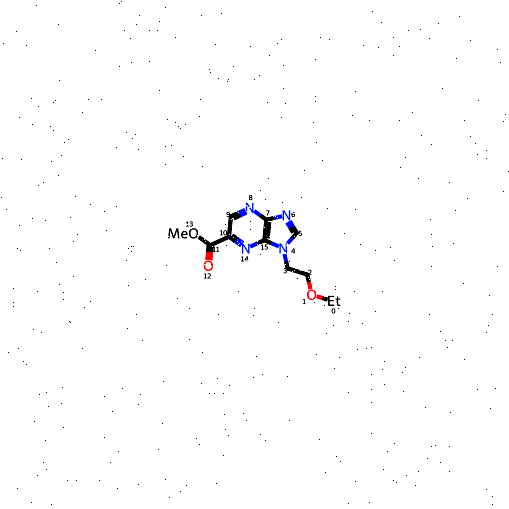 CCOCCn1cnc2ncc(C(=O)OC)nc21